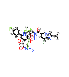 NC(=O)[C@@]1(C(F)F)COc2c1cc(C(O)(CNC(=O)c1cc(Cl)c3nc(C4CC4)cn3c1)C(F)(F)F)nc2-c1ccc(F)cc1